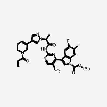 C=CC(=O)N1CCC=C(c2cnn(C(C)C(=O)Nc3ncc(C(F)(F)F)c(-c4cn(C(=O)OC(C)(C)C)c5cc(F)c(F)cc45)n3)c2)C1